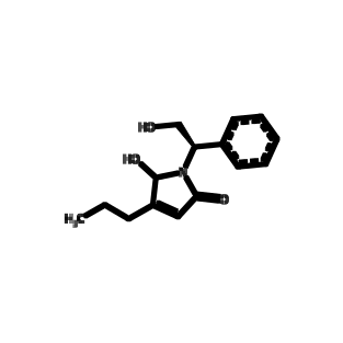 CCCC1=CC(=O)N([C@@H](CO)c2ccccc2)C1O